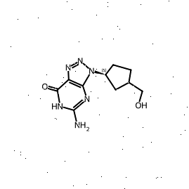 Nc1nc2c(nnn2[C@H]2CCC(CO)C2)c(=O)[nH]1